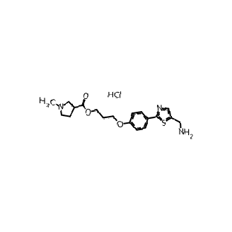 CN1CCC(C(=O)OCCCOc2ccc(-c3ncc(CN)s3)cc2)C1.Cl